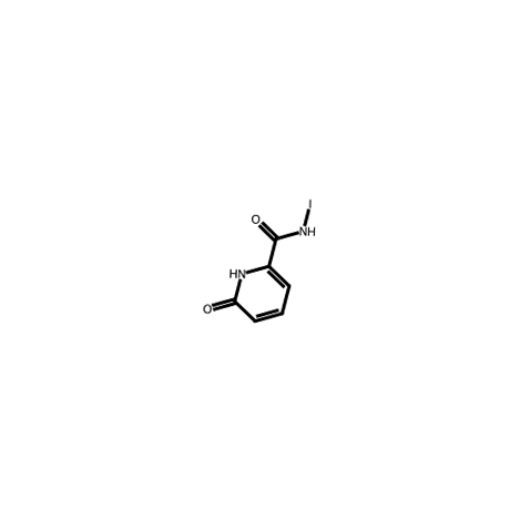 O=C(NI)c1cccc(=O)[nH]1